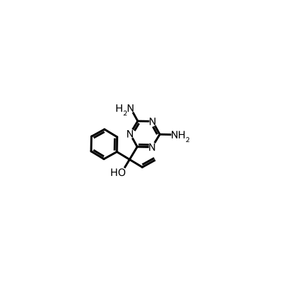 C=CC(O)(c1ccccc1)c1nc(N)nc(N)n1